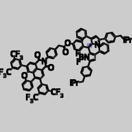 Cc1cc(OC(=O)Cc2ccc(-n3c(=O)c4cc(-c5cc(C(F)(F)F)cc(C(F)(F)F)c5)c5oc6ccccc6c6c(-c7cc(C(F)(F)F)cc(C(F)(F)F)c7)cc(c3=O)c4c56)cc2)cc(C)c1/C(=C1/N=C(c2ccc(CC(C)C)cc2)C=C1c1ccccc1)c1c(-c2ccccc2)cc(-c2ccc(CC(C)C)cc2)n1B(F)F